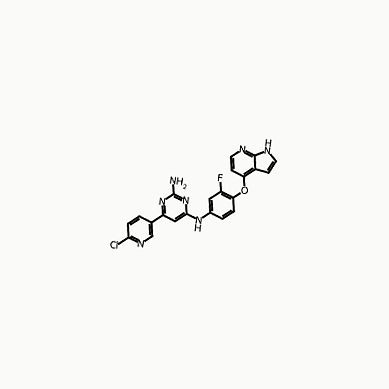 Nc1nc(Nc2ccc(Oc3ccnc4[nH]ccc34)c(F)c2)cc(-c2ccc(Cl)nc2)n1